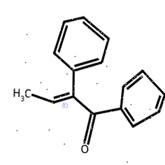 C/C=C(/C(=O)c1ccccc1)c1ccccc1